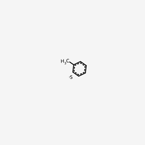 Cc1ccccc1.[S]